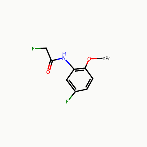 CCCOc1ccc(F)cc1NC(=O)CF